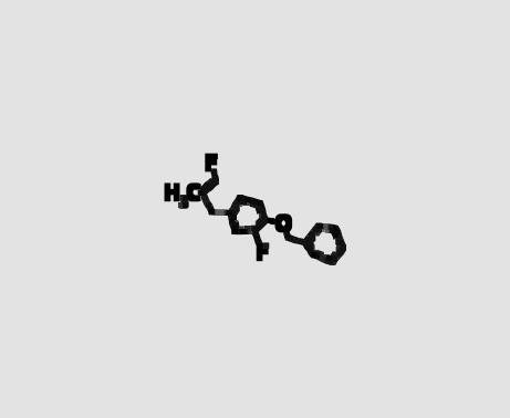 CC(=CF)Cc1ccc(OCc2ccccc2)c(F)c1